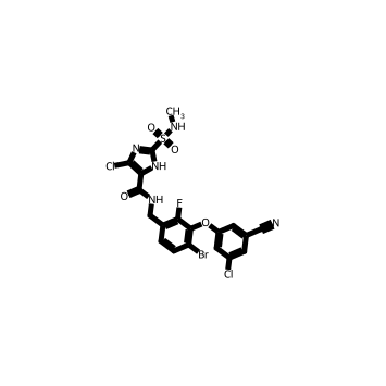 CNS(=O)(=O)c1nc(Cl)c(C(=O)NCc2ccc(Br)c(Oc3cc(Cl)cc(C#N)c3)c2F)[nH]1